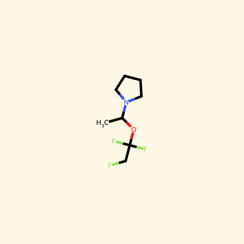 CC(OC(F)(F)CF)N1CCCC1